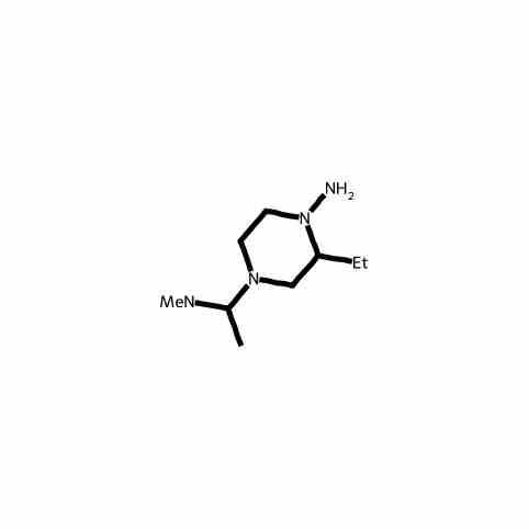 CCC1CN(C(C)NC)CCN1N